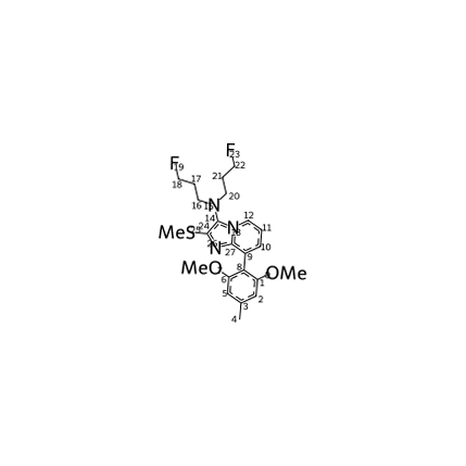 COc1cc(C)cc(OC)c1-c1cccn2c(N(CCCF)CCCF)c(SC)nc12